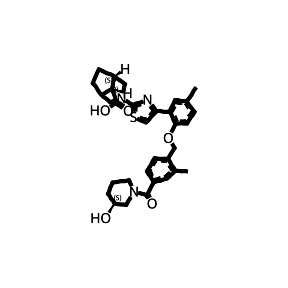 Cc1ccc(OCc2ccc(C(=O)N3CCC[C@H](O)C3)cc2C)c(-c2csc(N3CC4CC[C@H](C3)[C@@H]4C(=O)O)n2)c1